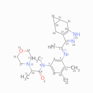 CCC/C(=N\c1cc(N(C)C(=O)C(C)N2CCOCC2)cc(CC)c1C)c1n[nH]c2c1CC1CC1C2